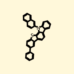 c1ccc(-c2ccc3sc4c(ccc5c6ccccc6n(-c6ccc7ccccc7c6)c54)c3c2)cc1